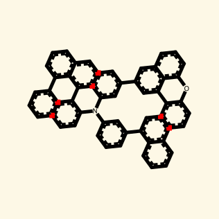 c1ccc(-c2cccc3cccc(-c4ccccc4N(c4cccc(-c5cc6c7c(cccc7c5)Oc5ccccc5-6)c4)c4cccc(-c5cccc6ccccc56)c4)c23)cc1